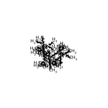 CCCCN(CCCC)c1nc(N(CCCC)CCCC)nc(N(CCCCCCN(c2nc(N(CCCC)C3CC(C)(C)NC(C)(C)C3)nc(N(CCCCCCN(c3nc(N(CCCC)CCCC)nc(N(CCCC)CCCC)n3)C3CC(C)(C)NC(C)(C)C3)C3CC(C)(C)NC(C)(C)C3)n2)C2CC(C)(C)NC(C)(C)C2)C2CC(C)(C)NC(C)(C)C2)n1